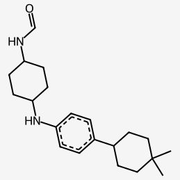 CC1(C)CCC(c2ccc(NC3CCC(NC=O)CC3)cc2)CC1